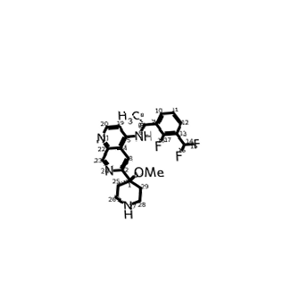 COC1(c2cc3c(N[C@H](C)c4cccc(C(F)F)c4F)ccnc3cn2)CCNCC1